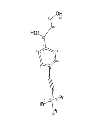 CC(C)[Si](C#Cc1ccc(C(O)CCO)cc1)(C(C)C)C(C)C